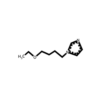 CCOCCCCn1ccnc1